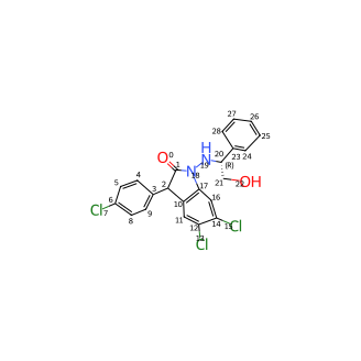 O=C1C(c2ccc(Cl)cc2)c2cc(Cl)c(Cl)cc2N1N[C@@H](CO)c1ccccc1